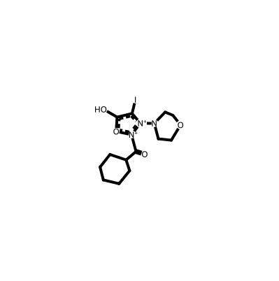 O=C(C1CCCCC1)[n+]1oc(O)c(I)[n+]1N1CCOCC1